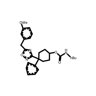 CCCCNC(=O)OC1CCC(c2ccccc2)(c2noc(Cc3cccc(OC)c3)n2)CC1